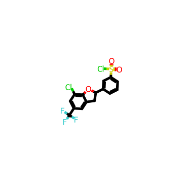 O=S(=O)(Cl)c1cccc(C2Cc3cc(C(F)(F)F)cc(Cl)c3O2)c1